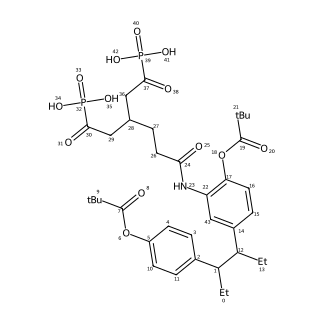 CCC(c1ccc(OC(=O)C(C)(C)C)cc1)C(CC)c1ccc(OC(=O)C(C)(C)C)c(NC(=O)CCC(CC(=O)P(=O)(O)O)CC(=O)P(=O)(O)O)c1